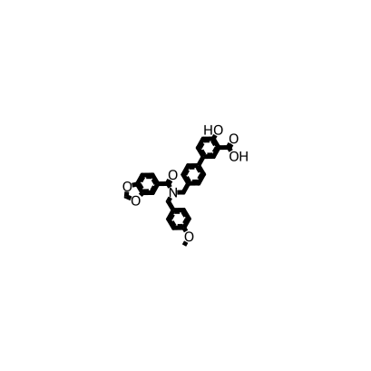 COc1ccc(CN(Cc2ccc(-c3ccc(O)c(C(=O)O)c3)cc2)C(=O)c2ccc3c(c2)OCO3)cc1